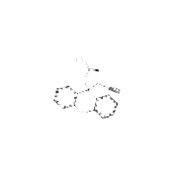 C#CCC1(OC(=O)C(C)(C)C)c2ccccc2Sc2ccccc21